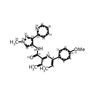 C=C/C(=N\C(=C/C)c1ccc(OC)cc1)C(=O)Nc1cn(C)nc1-c1ccccn1